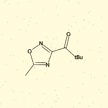 Cc1nc(C(=O)C(C)(C)C)no1